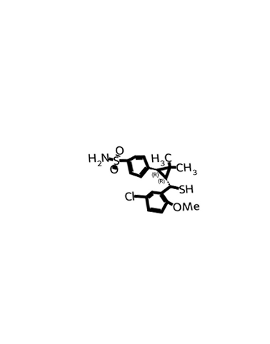 COc1ccc(Cl)cc1C(S)[C@@H]1[C@@H](c2ccc(S(N)(=O)=O)cc2)C1(C)C